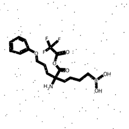 NC(CCCCB(O)O)(CCCOc1ccccc1)C(=O)OC(=O)C(F)(F)F